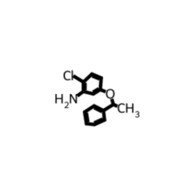 CC(Oc1ccc(Cl)c(N)c1)c1ccccc1